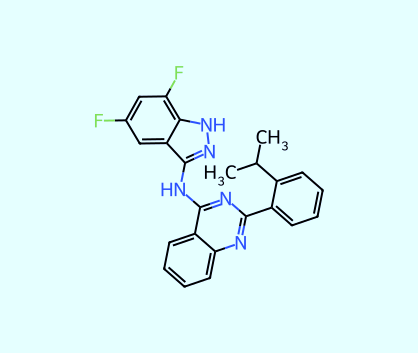 CC(C)c1ccccc1-c1nc(Nc2n[nH]c3c(F)cc(F)cc23)c2ccccc2n1